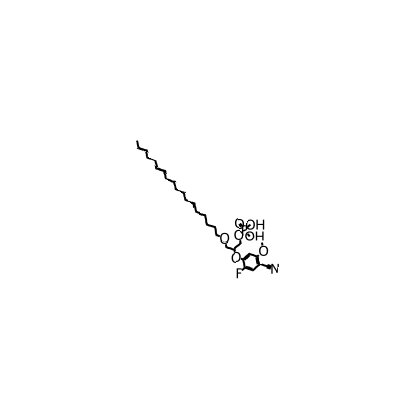 CCCCCCCCCCCCCCCCCCOCC(COP(=O)(O)O)Oc1cc(OC)c(C#N)cc1F